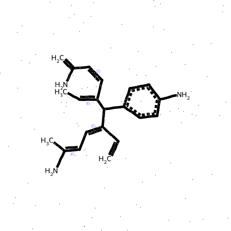 C=C/C(=C\C=C(/C)N)C(C(/C=C\C(=C)N)=C/C)c1ccc(N)cc1